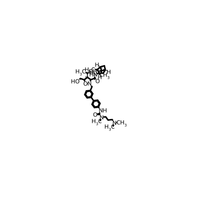 CC(O)[C@@H]1C(CO)ON(Cc2cccc(-c3ccc(NC(=O)N(C)CCCN(C)C)cc3)c2)C1C(=O)N[C@H]1C[C@@H]2C[C@H](C1C)C2(C)C